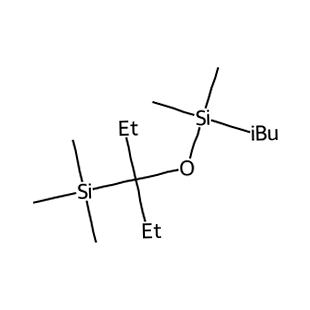 CCC(C)[Si](C)(C)OC(CC)(CC)[Si](C)(C)C